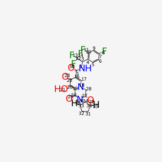 O=C(NC(c1ccc(F)cc1F)C(F)(F)F)c1cn2c(c(O)c1=O)C(=O)N1C(C2)O[C@@H]2CC[C@H]1C2